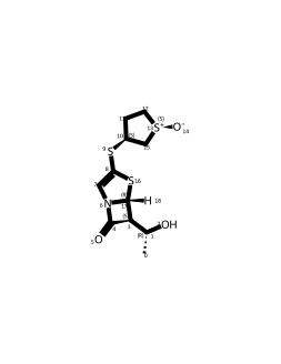 C[C@@H](O)[C@H]1C(=O)N2C=C(S[C@H]3CC[S@@+]([O-])C3)S[C@H]12